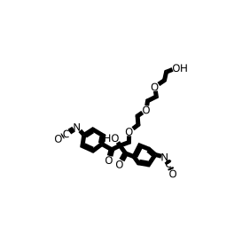 O=C=Nc1ccc(C(=O)C(O)(COCCOCCOCCO)C(=O)c2ccc(N=C=O)cc2)cc1